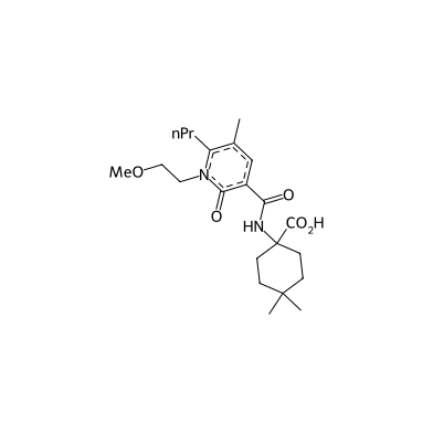 CCCc1c(C)cc(C(=O)NC2(C(=O)O)CCC(C)(C)CC2)c(=O)n1CCOC